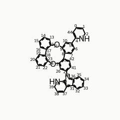 C1=CCNC(c2ccc3c(c2)Oc2ccccc2-c2ccccc2Oc2cc(-n4c5c(c6ccccc64)C=CCN5)ccc2-3)=C1